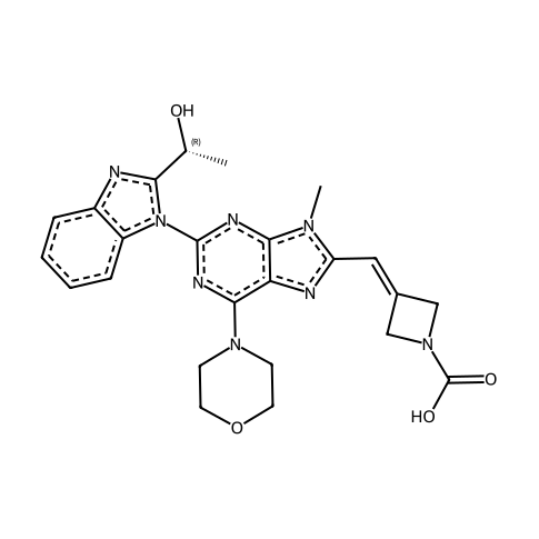 C[C@@H](O)c1nc2ccccc2n1-c1nc(N2CCOCC2)c2nc(C=C3CN(C(=O)O)C3)n(C)c2n1